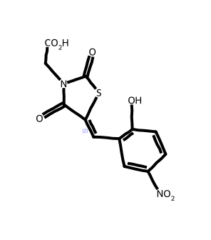 O=C(O)CN1C(=O)S/C(=C\c2cc([N+](=O)[O-])ccc2O)C1=O